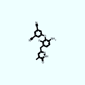 Cc1cc(Cc2ccc(N)c(Oc3cc(C#N)cc(C#N)c3)c2F)n[nH]c1=O